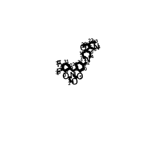 O=C1COC(=O)N1C(c1ccc(CN2CCC3(CC2)OCc2ccncc23)cc1)c1ccc(F)c(F)c1